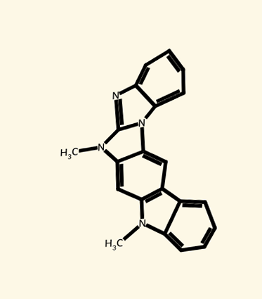 Cn1c2ccccc2c2cc3c(cc21)n(C)c1nc2ccccc2n31